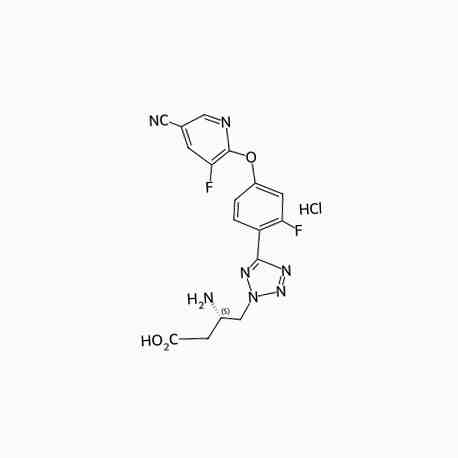 Cl.N#Cc1cnc(Oc2ccc(-c3nnn(C[C@@H](N)CC(=O)O)n3)c(F)c2)c(F)c1